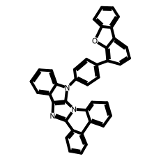 c1ccc2c(c1)oc1c(-c3ccc(-n4c5ccccc5c5nc6c7ccccc7c7ccccc7n6c54)cc3)cccc12